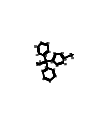 [Se]=P(c1ccccc1)(c1ccccc1)c1ccc(Br)cc1